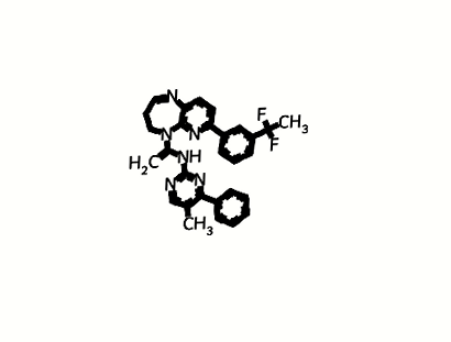 C=C(Nc1ncc(C)c(-c2ccccc2)n1)N1CCC=Nc2ccc(-c3cccc(C(C)(F)F)c3)nc21